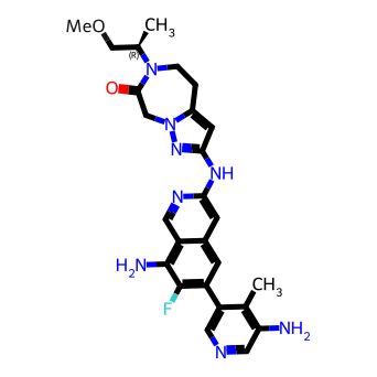 COC[C@@H](C)N1CCc2cc(Nc3cc4cc(-c5cncc(N)c5C)c(F)c(N)c4cn3)nn2CC1=O